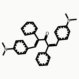 CN(C)c1ccc(C=C(C(=O)C(=Cc2ccc(N(C)C)cc2)c2ccccc2)c2ccccc2)cc1